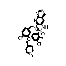 Cc1c(Cl)cccc1S(=O)(=O)Nc1cc2cncnc2nc1OCc1ccc(Cl)c(OCC2CCN(C)CC2)c1